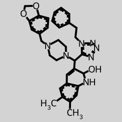 Cc1cc2c(cc1C)NC(O)C(C(c1nnnn1CCc1ccccc1)N1CCN(Cc3ccc4c(c3)OCO4)CC1)=C2